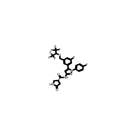 O=C1C[C@H](C(=O)Nc2cc(-c3cc(F)cc(COC(C(F)(F)F)C(F)(F)F)c3)n(-c3ccc(F)cc3)n2)CN1